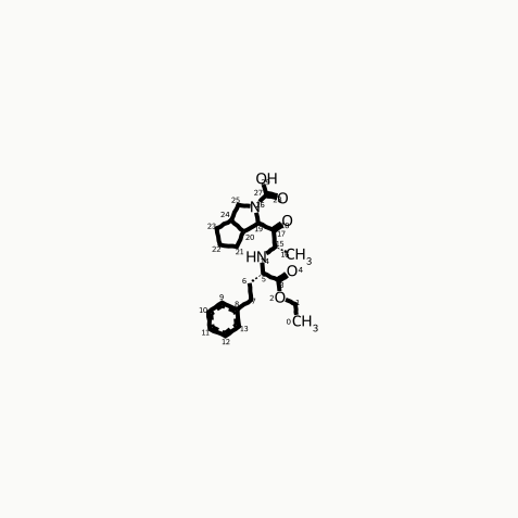 CCOC(=O)[C@H](CCc1ccccc1)N[C@@H](C)C(=O)C1C2CCCC2CN1C(=O)O